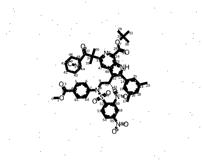 COC(=O)c1ccc(N(C[C@@H](C)c2c(-c3cc(C)cc(C)c3)[nH]c3c(C(=O)OC(C)(C)C)nc(C(C)(C)C(=O)N4CC5CCC4CC5)cc23)S(=O)(=O)c2ccc([N+](=O)[O-])cc2[N+](=O)[O-])cc1